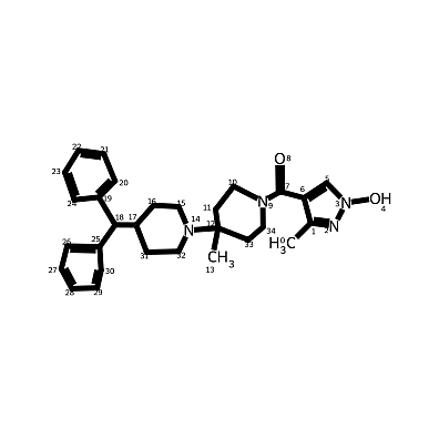 Cc1nn(O)cc1C(=O)N1CCC(C)(N2CCC(C(c3ccccc3)c3ccccc3)CC2)CC1